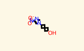 O=[N+]([O-])c1cn(C2CC3(CC(O)C3)C2)cn1